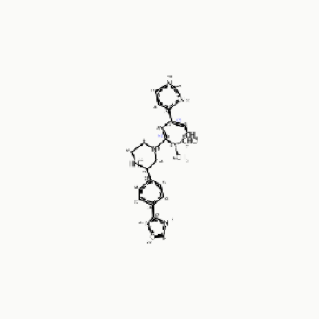 C/C=C(\N=C(/N(C)C=O)N1CCNC(c2ccc(-c3ncon3)cc2)C1)c1ccncn1